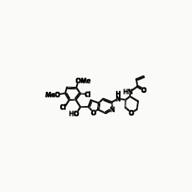 C=CC(=O)NC1CCOCC1Nc1cc2cc(C(O)c3c(Cl)c(OC)cc(OC)c3Cl)oc2cn1